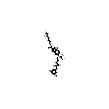 O=CNCCCCNC(=O)c1cc2cc(N(CCCC(=O)NCc3cc(F)cc(Cl)c3)C(=O)O)ccc2[nH]1